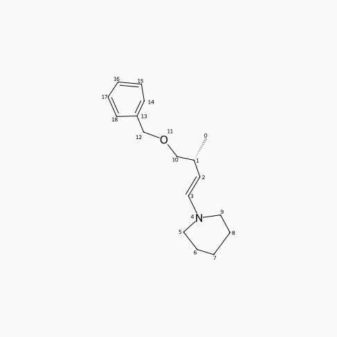 C[C@H](C=CN1CCCCC1)COCc1ccccc1